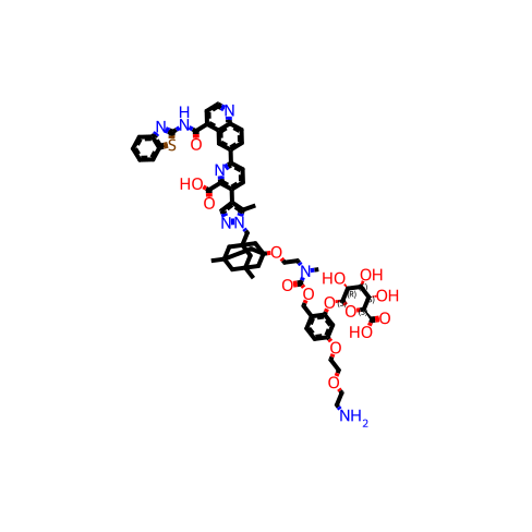 Cc1c(-c2ccc(-c3ccc4nccc(C(=O)Nc5nc6ccccc6s5)c4c3)nc2C(=O)O)cnn1CC12CC3(C)CC(C)(C1)CC(OCCN(C)C(=O)OCc1ccc(OCCOCCN)cc1O[C@@H]1O[C@H](C(=O)O)[C@@H](O)[C@H](O)[C@H]1O)(C3)C2